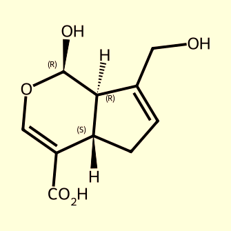 O=C(O)C1=CO[C@@H](O)[C@H]2C(CO)=CC[C@H]12